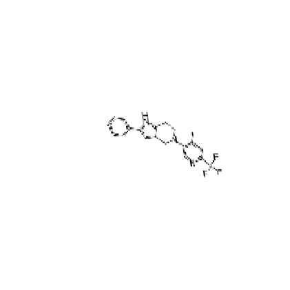 Cc1cc(C(F)(F)F)ncc1N1CCc2[nH]c(-c3ccccc3)cc2C1